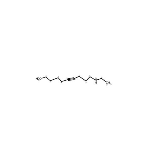 CCCCCC#CCCCNCC